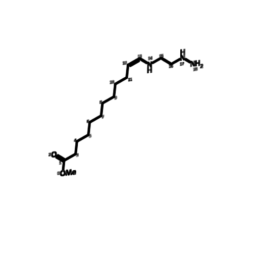 COC(=O)CCCCCCCCC/C=C\NCCNN